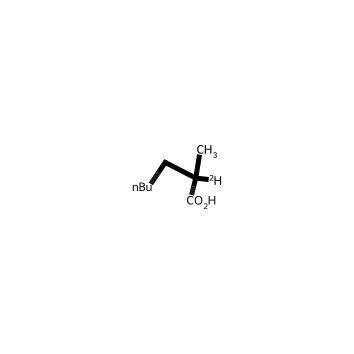 [2H]C(C)(CCCCC)C(=O)O